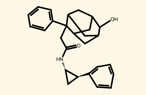 O=C(CC1(c2ccccc2)C2CC3CC1CC(C2)C3O)N[C@H]1C[C@@H]1c1ccccc1